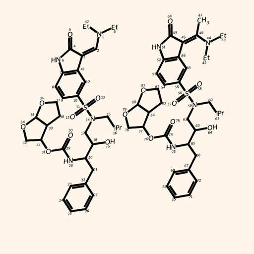 CCN(C=C1C(=O)Nc2ccc(S(=O)(=O)N(CC(C)C)CC(O)C(Cc3ccccc3)NC(=O)OC3COC4OCCC34)cc21)CC.CCN(CC)C(C)=C1C(=O)Nc2ccc(S(=O)(=O)N(CC(C)C)CC(O)C(Cc3ccccc3)NC(=O)OC3COC4OCCC34)cc21